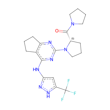 O=C([C@@H]1CCCN1c1nc2c(c(Nc3cc(C(F)(F)F)[nH]n3)n1)CCC2)N1CCCC1